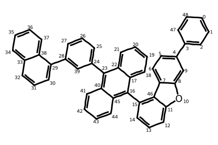 c1ccc(-c2ccc3c(c2)oc2cccc(-c4c5ccccc5c(-c5cccc(-c6cccc7ccccc67)c5)c5ccccc45)c23)cc1